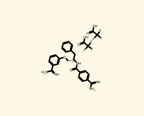 N=C(N)c1ccc(C(=O)N[C@H](COc2cccc(C(=N)N)c2)Cc2ccccc2)cc1.O=C(O)C(F)(F)F.O=C(O)C(F)(F)F